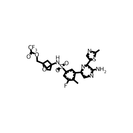 Cc1ncc(-c2nc(-c3cc(S(=O)(=O)NC45COC(COC(=O)C(F)(F)F)(C4)C5)cc(F)c3C)cnc2N)s1